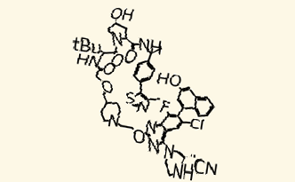 Cc1ncsc1-c1ccc([C@H](C)NC(=O)[C@@H]2C[C@@H](O)CN2C(=O)[C@@H](NC(=O)COCC2CCN(CCOc3nc(N4CCN[C@@H](CC#N)C4)c4cc(Cl)c(-c5cc(O)cc6ccccc56)c(F)c4n3)CC2)C(C)(C)C)cc1